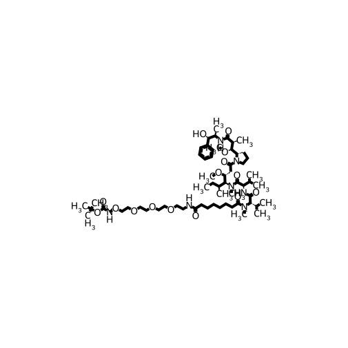 CC[C@H](C)[C@@H]([C@@H](CC(=O)N1CCC[C@H]1[C@H](OC)[C@@H](C)C(=O)N[C@H](C)[C@@H](O)c1ccccc1)OC)N(C)C(=O)[C@@H](NC(=O)[C@H](C(C)C)N(C)C(=O)CCCCCCC(=O)NCCOCCOCCOCCONC(=O)OC(C)(C)C)C(C)C